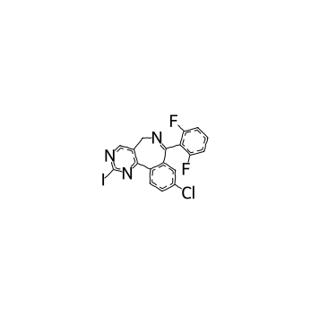 Fc1cccc(F)c1C1=NCc2cnc(I)nc2-c2ccc(Cl)cc21